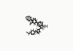 CCN1CCC(n2cc(-c3c[nH]c4ncc(-c5cnc(N6CCOCC6)c(F)c5)nc34)cn2)CC1